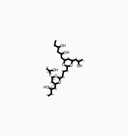 CCC(O)CC(O)CC1CC(CC(C)O)OC(CCCC2OC(CC(C)O)CC(CC(O)CC)O2)O1